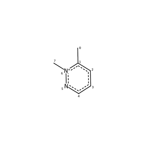 Cc1cccn[n+]1C